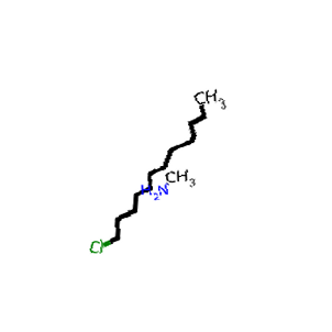 CCCCCCCCCCCCCl.CN